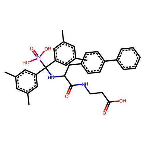 Cc1cc(C)cc(C(NC(Cc2ccc(-c3ccccc3)cc2)C(=O)NCCC(=O)O)(c2cc(C)cc(C)c2)P(=O)(O)O)c1